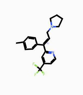 Cc1ccc(/C(=C\CN2CCCC2)c2cc(C(F)(F)F)ccn2)cc1